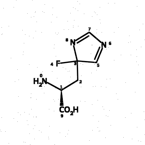 N[C@@H](CC1(F)C=NC=N1)C(=O)O